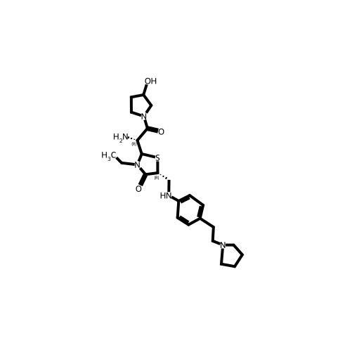 CCN1C(=O)[C@@H](CNc2ccc(CCN3CCCC3)cc2)SC1[C@H](N)C(=O)N1CCC(O)C1